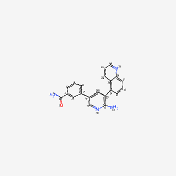 NC(=O)c1cccc(-c2cnc(N)c(-c3cccc4ncccc34)c2)c1